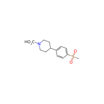 CS(=O)(=O)c1ccc(C2CCN(C(=O)O)CC2)cc1